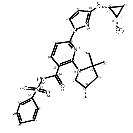 C[C@@H]1CN(c2nc(-n3ccc(O[C@@H]4C[C@@H]4C(F)(F)F)n3)ccc2C(=O)NS(=O)(=O)c2ccccc2)C(C)(C)C1